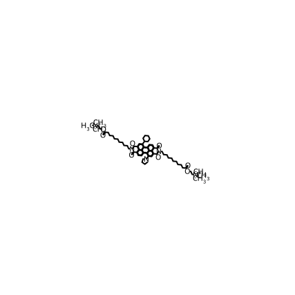 C[N+](C)(C)CCOC(=O)CCCCCCCCCCN1C(=O)c2ccc3c4c(N5CCCC5)cc5c6c(ccc(c7c(C8CCCCC8)cc(c2c37)C1=O)c64)C(=O)N(CCCCCCCCCCC(=O)OCC[N+](C)(C)C)C5=O